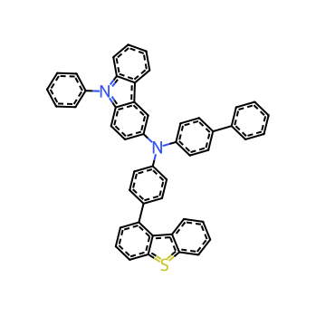 c1ccc(-c2ccc(N(c3ccc(-c4cccc5sc6ccccc6c45)cc3)c3ccc4c(c3)c3ccccc3n4-c3ccccc3)cc2)cc1